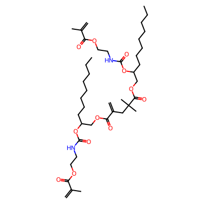 C=C(C)C(=O)OCCNC(=O)OC(CCCCCCCC)COC(=O)C(=C)CC(C)(C)C(=O)OCC(CCCCCCCC)OC(=O)NCCOC(=O)C(=C)C